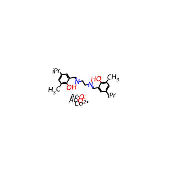 CC(=O)[O-].CC(=O)[O-].Cc1cc(C(C)C)cc(C=NCCN=Cc2cc(C(C)C)cc(C)c2O)c1O.[Co+2]